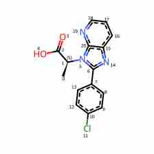 C[C@@H](C(=O)O)n1c(-c2ccc(Cl)cc2)nc2cccnc21